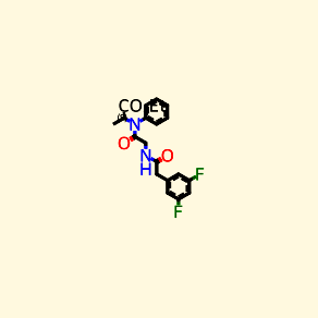 CCOC(=O)[C@H](C)N(C(=O)CNC(=O)Cc1cc(F)cc(F)c1)c1ccccc1